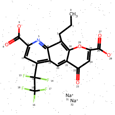 CCCc1c2nc(C(=O)[O-])cc(C(F)(F)C(F)(F)F)c2cc2c(=O)cc(C(=O)[O-])oc12.[Na+].[Na+]